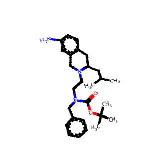 CC(C)CC1Cc2ccc(N)cc2CN1CCN(Cc1ccccc1)C(=O)OC(C)(C)C